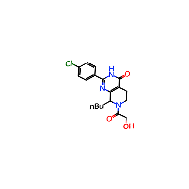 CCCCC1c2nc(-c3ccc(Cl)cc3)[nH]c(=O)c2CCN1C(=O)CO